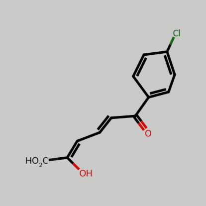 O=C(O)C(O)=CC=CC(=O)c1ccc(Cl)cc1